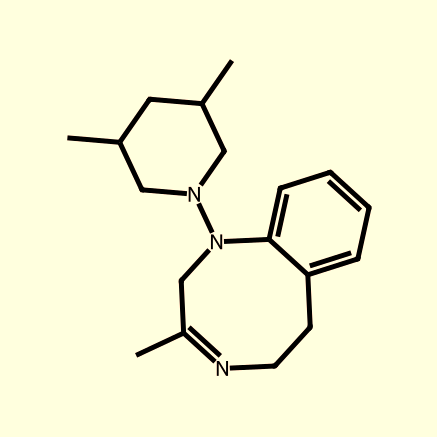 C/C1=N/CCc2ccccc2N(N2CC(C)CC(C)C2)C1